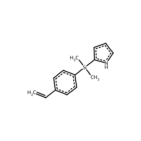 C=Cc1ccc([Si](C)(C)c2ccc[nH]2)cc1